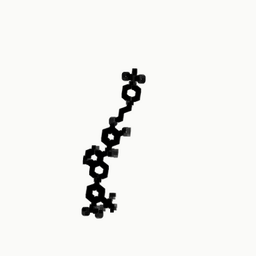 CS(=O)(=O)N1CCN(CCCOc2ccc(Nc3ncnc4c3CCN(c3ccc([N+](=O)[O-])c(C(F)(F)F)c3)C4)cc2Cl)CC1